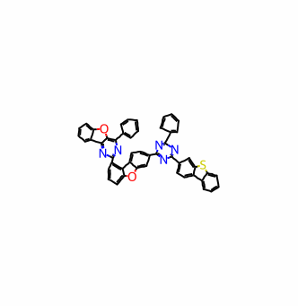 c1ccc(-c2nc(-c3ccc4c(c3)oc3cccc(-c5nc(-c6ccccc6)c6oc7ccccc7c6n5)c34)nc(-c3ccc4c(c3)sc3ccccc34)n2)cc1